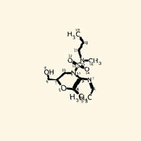 C/C=N\C1=C(C)O[C@@H](CO)CN1S(=O)(=O)N(C)CCC